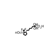 CCCCCCCC[C@@]1([C](F)F)CCC[C@@H]1CCCCCC(O)(O)C(=O)O